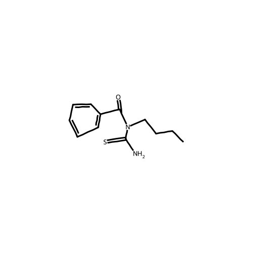 CCCCN(C(=O)c1ccccc1)C(N)=S